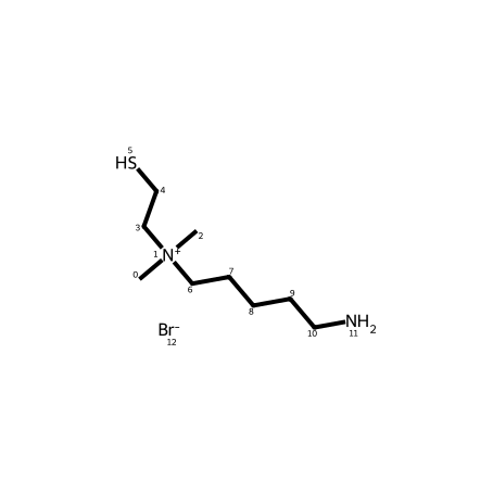 C[N+](C)(CCS)CCCCCN.[Br-]